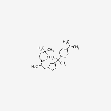 CC(C)N1CCC(C(C)(C)N2CCC(CC(C)N3CCC(C)(C)CC3)C2)CC1